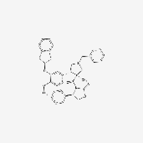 COc1ccc([C@@H]2CN(Cc3ccccc3)C[C@@]2(C)C(=O)N2C(=O)OC[C@H]2c2ccccc2)cc1OC1Cc2ccccc2C1